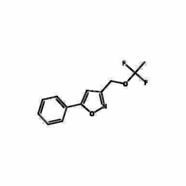 CC(F)(F)OCc1cc(-c2ccccc2)on1